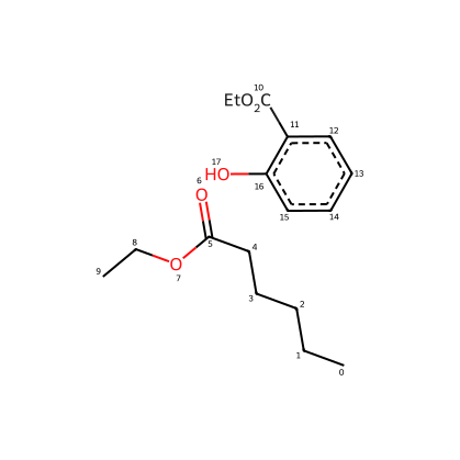 CCCCCC(=O)OCC.CCOC(=O)c1ccccc1O